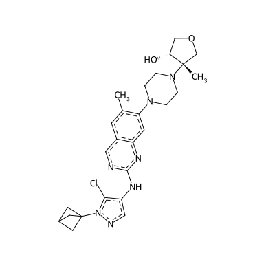 Cc1cc2cnc(Nc3cnn(C45CC(C4)C5)c3Cl)nc2cc1N1CCN([C@@]2(C)COC[C@H]2O)CC1